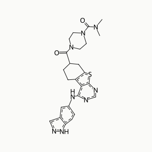 CN(C)C(=O)N1CCN(C(=O)C2CCc3c(sc4ncnc(Nc5ccc6[nH]ncc6c5)c34)C2)CC1